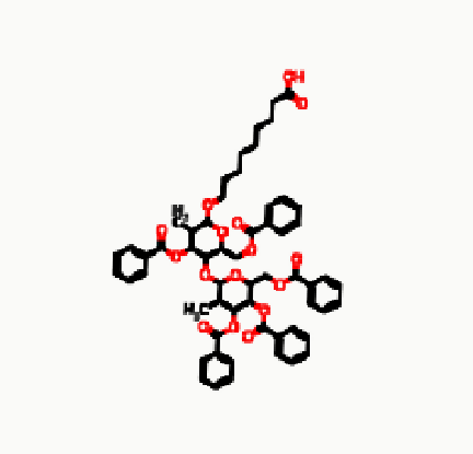 CC1C(OC2C(COC(=O)c3ccccc3)OC(OCCCCCCCCC(=O)O)C(C)C2OC(=O)c2ccccc2)OC(COC(=O)c2ccccc2)C(OC(=O)c2ccccc2)C1OC(=O)c1ccccc1